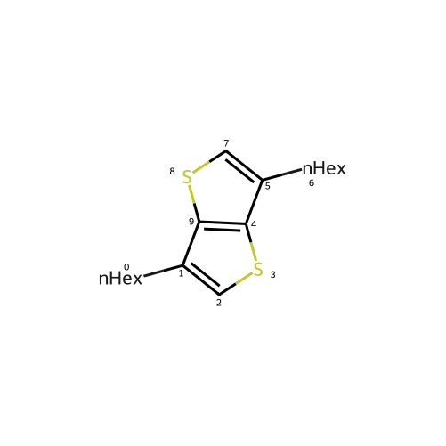 CCCCCCc1csc2c(CCCCCC)csc12